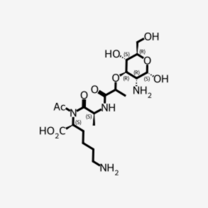 CC(=O)N(C(=O)[C@H](C)NC(=O)C(C)O[C@@H]1[C@@H](N)[C@@H](O)O[C@H](CO)[C@H]1O)[C@@H](CCCCN)C(=O)O